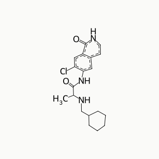 CC(NCC1CCCCC1)C(=O)Nc1cc2cc[nH]c(=O)c2cc1Cl